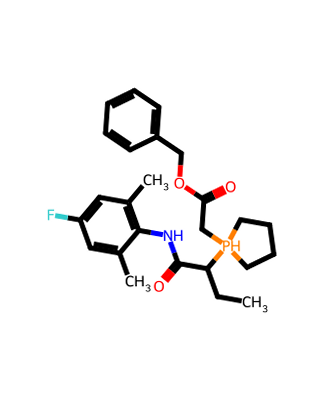 CCC(C(=O)Nc1c(C)cc(F)cc1C)[PH]1(CC(=O)OCc2ccccc2)CCCC1